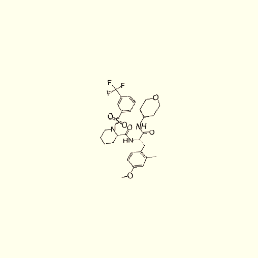 COc1ccc(C[C@H](NC(=O)C2CCCCN2S(=O)(=O)c2cccc(C(F)(F)F)c2)C(=O)NC2CCOCC2)c(C)c1